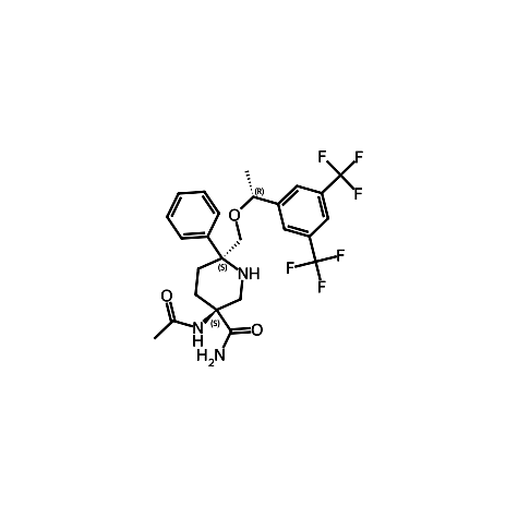 CC(=O)N[C@@]1(C(N)=O)CC[C@@](CO[C@H](C)c2cc(C(F)(F)F)cc(C(F)(F)F)c2)(c2ccccc2)NC1